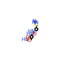 CNS(=O)(=O)c1cc(NC(=O)Nc2cccc([C@H](C)Sc3nncn3C)c2)ccc1C